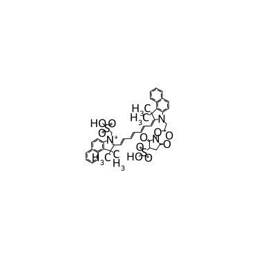 CC1(C)C(/C=C/C=C/C=C/C=C2/N(CC(=O)ON3C(=O)CC(S(=O)(=O)O)C3=O)c3ccc4ccccc4c3C2(C)C)=[N+](CS(=O)(=O)O)c2ccc3ccccc3c21